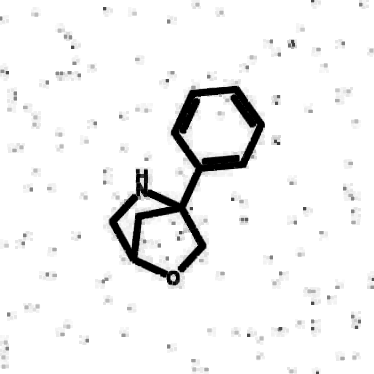 c1ccc(C23COC(CN2)C3)cc1